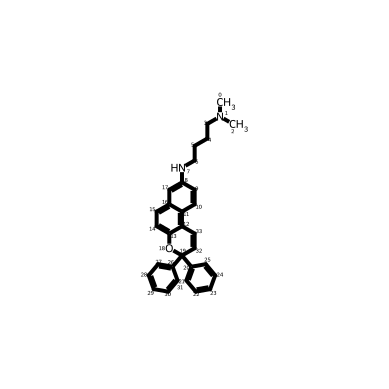 CN(C)CCCCNc1ccc2c3c(ccc2c1)OC(c1ccccc1)(c1ccccc1)C=C3